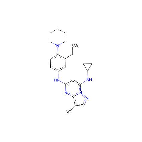 CSCc1cc(Nc2cc(NC3CC3)n3ncc(C#N)c3n2)ccc1N1CCCCC1